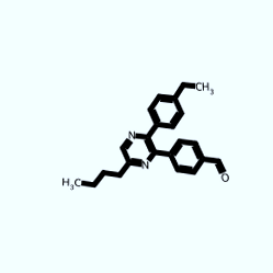 CCCCc1cnc(-c2ccc(CC)cc2)c(-c2ccc(C=O)cc2)n1